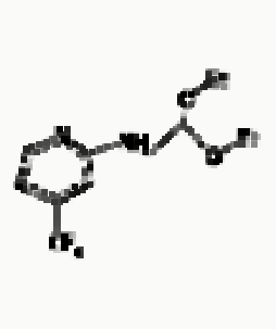 CCOC(CNc1cc(C(F)(F)F)ccn1)OCC